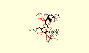 CCC(C)(CC)O[C@@H]1C(C(=O)O)O[C@@H](O[C@@H]2C(COS(=O)(=O)O)O[C@H](C(C)(CC)CC)C(NS(=O)(=O)O)C2O)C(CS(=O)(=O)O)C1O